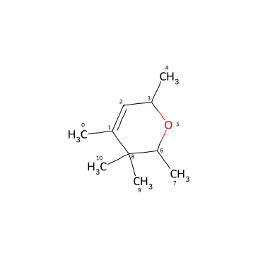 CC1=CC(C)OC(C)C1(C)C